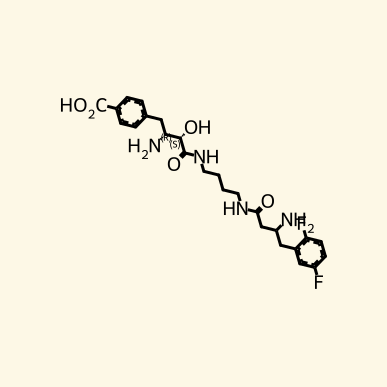 NC(CC(=O)NCCCCNC(=O)[C@@H](O)[C@H](N)Cc1ccc(C(=O)O)cc1)Cc1cc(F)ccc1F